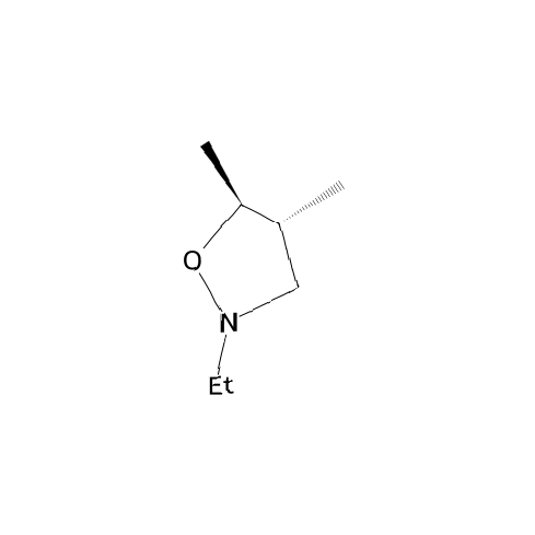 CCN1C[C@@H](C)[C@H](C)O1